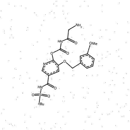 CCCCS(=O)(=O)NC(=O)c1cnc(OC(=O)NC(=O)CN)c(OCc2cccc(OC)c2)c1